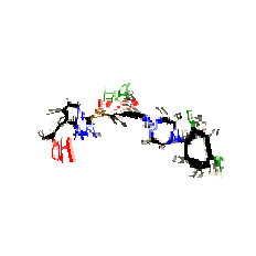 CC(O)c1cccn2c(SCCN3CCN(c4ccc(F)cc4F)CC3)nnc12.Cl.Cl.O